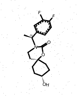 C[C@@H](c1ccc(F)c(F)c1)N1CC[C@]2(CC[C@@H](O)CC2)OC1=O